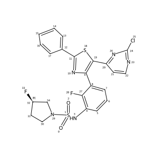 O=S(=O)(Nc1cccc(-c2nc(-c3ccccc3)sc2-c2ccnc(Cl)n2)c1F)N1CC[C@@H](F)C1